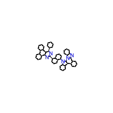 c1ccc(-c2nc(-c3cccc4c(-n5c6ccccc6c6c7ccccc7c7nc8ccccc8n7c65)cccc34)nc3c4ccccc4c4ccccc4c23)cc1